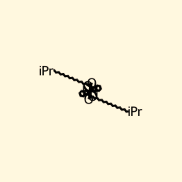 CC(C)CCCCCCCCCCCCCCCOC(=O)n1c(-c2nc3ccccc3n2C(=O)OCCCCCCCCCCCCCCCC(C)C)nc2ccccc21